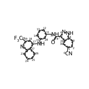 N#Cc1ccc2[nH]nc(C(=O)Nc3cccc(Nc4cc(C(F)(F)F)nc5ccccc45)c3)c2c1